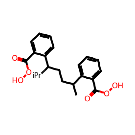 CC(CCC(c1ccccc1C(=O)OO)C(C)C)c1ccccc1C(=O)OO